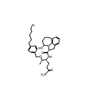 CC(=O)CCCCCc1ccc(CO[C@H](C)[C@H](CCC(N)=O)NC(=O)[C@@H]2Cc3cccc4c3N2C(O)CCC4)cc1